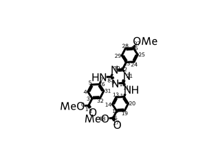 COC(=O)c1ccc(Nc2nc(Nc3ccc(C(=O)OC)cc3)nc(-c3ccc(OC)cc3)n2)cc1